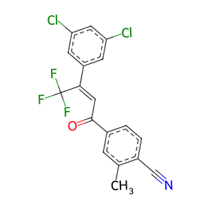 Cc1cc(C(=O)/C=C(/c2cc(Cl)cc(Cl)c2)C(F)(F)F)ccc1C#N